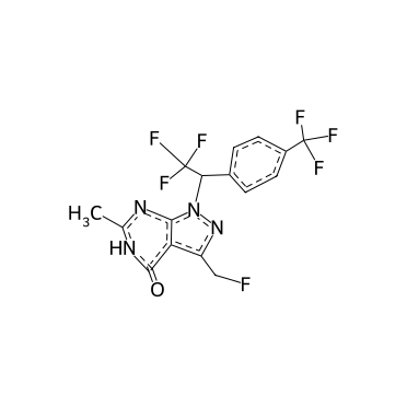 Cc1nc2c(c(CF)nn2C(c2ccc(C(F)(F)F)cc2)C(F)(F)F)c(=O)[nH]1